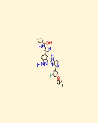 COc1cc(F)cc(-c2nccc3[nH]c(-c4n[nH]c5ccc(-c6cncc(NC(O)C7CCCC7)c6)cc45)nc23)c1